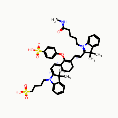 BNC(=O)CCCC[N+]1=C(/C=C/C2=C(Oc3ccc(S(=O)(=O)O)cc3)C(=C/C=C3/N(CCCCS(=O)(=O)O)c4ccccc4C3(C)C)/CCC2)C(C)(C)c2ccccc21